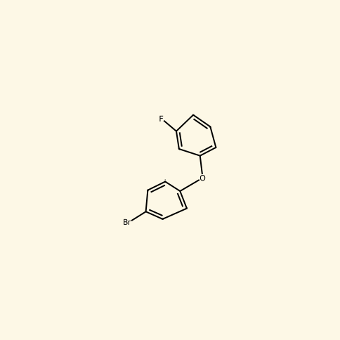 Fc1cccc(Oc2[c]cc(Br)cc2)c1